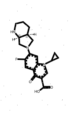 O=C(O)c1cn(C2CC2)c2cc(N3C[C@@H]4CCCN[C@@H]4C3)c(F)cc2c1=O